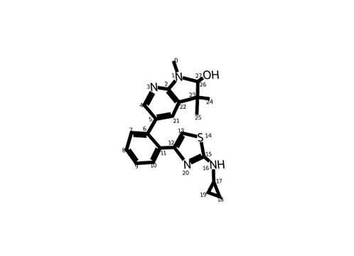 CN1c2ncc(-c3ccccc3-c3csc(NC4CC4)n3)cc2C(C)(C)C1O